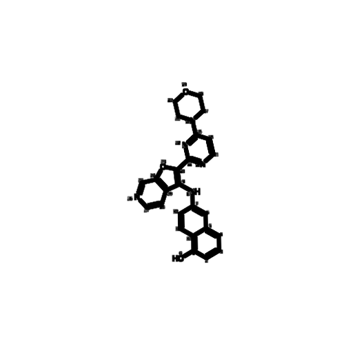 Oc1cccc2cc(Nc3c(-c4nccc(N5CCOCC5)n4)oc4cnccc34)ccc12